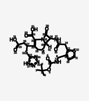 CC(C)(C)OC(=O)NCc1ccsc1CC(=O)NC1C(=O)N2C(C(=O)O)=C(C(CC(=O)O)Sc3nnn[nH]3)CS[C@@H]12